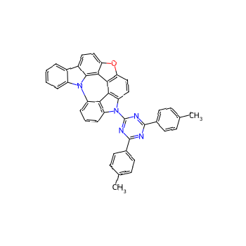 Cc1ccc(-c2nc(-c3ccc(C)cc3)nc(-n3c4ccc5oc6ccc7c8ccccc8n8c9cccc3c9c4c5c6c78)n2)cc1